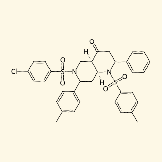 Cc1ccc(C2C[C@H]3[C@@H](CN2S(=O)(=O)c2ccc(Cl)cc2)C(=O)CC(c2ccccc2)N3S(=O)(=O)c2ccc(C)cc2)cc1